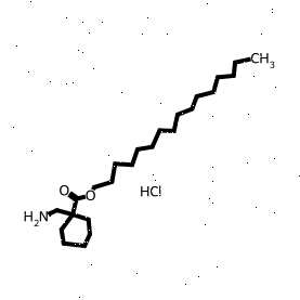 CCCCCCCCCCCCCCCCOC(=O)C1(CN)CCCCC1.Cl